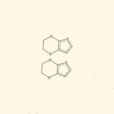 c1cc2c(s1)OCCO2.c1cc2c(s1)OCCO2